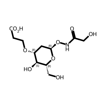 O=C(O)CCO[C@@H]1C[C@@H](ONC(=O)CO)O[C@H](CO)[C@H]1O